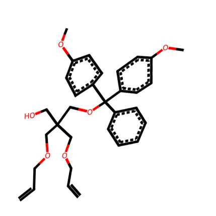 C=CCOCC(CO)(COCC=C)COC(c1ccccc1)(c1ccc(OC)cc1)c1ccc(OC)cc1